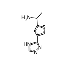 CC(N)c1cc(-c2nnc[nH]2)cs1